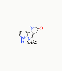 CC(=O)NN1C=C2CC(=O)CN(C)C2C2=CC=CNC21